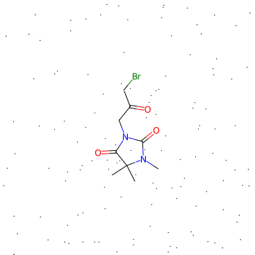 CN1C(=O)N(CC(=O)CBr)C(=O)C1(C)C